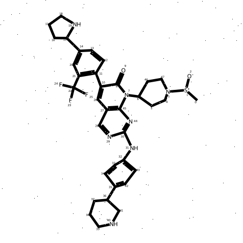 C[S+]([O-])N1CCC(n2c(=O)c(-c3ccc(C4CCCN4)cc3C(F)(F)F)cc3cnc(Nc4ccc(C5CCCNC5)cc4)nc32)CC1